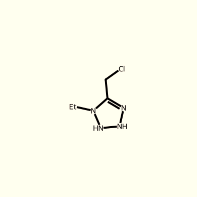 CCN1NNN=C1CCl